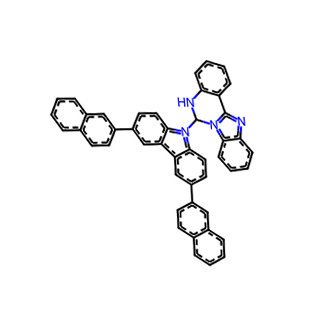 c1ccc2c(c1)NC(n1c3ccc(-c4ccc5ccccc5c4)cc3c3cc(-c4ccc5ccccc5c4)ccc31)n1c-2nc2ccccc21